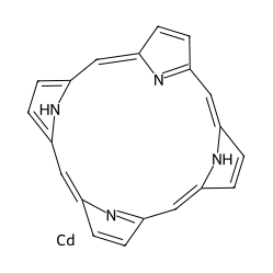 C1=Cc2cc3ccc(cc4nc(cc5ccc(cc1n2)[nH]5)C=C4)[nH]3.[Cd]